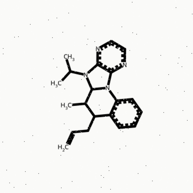 C=CCC1c2ccccc2N2c3nccnc3N(C(C)C)C2C1C